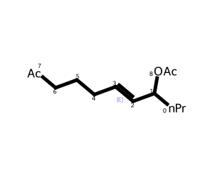 CCCC(/C=C/CCCC(C)=O)OC(C)=O